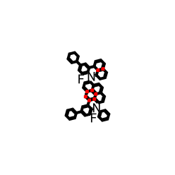 Fc1cc(-c2ccccc2)cc(C2=CC=CCC2)c1N(c1ccccc1)c1ccc2ccc3c(N(c4c(F)cc(C5C=CCCC5)cc4C4C=CC=CC4)C4C=CC=CC4)ccc4ccc1c2c43